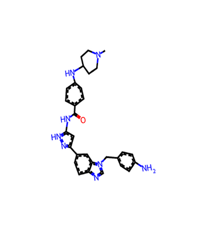 CN1CCC(Nc2ccc(C(=O)Nc3cc(-c4ccc5ncn(Cc6ccc(N)cc6)c5c4)n[nH]3)cc2)CC1